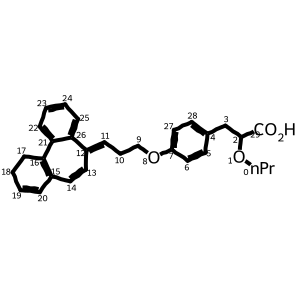 CCCOC(Cc1ccc(OCC/C=C2\C=CC3=C(CCC=C3)c3ccccc32)cc1)C(=O)O